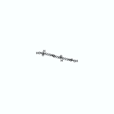 O=C(NCSCSCSC/N=C/OOCSCSCOC(=O)NCSCSCSC/N=C/OOCCO)OCCO